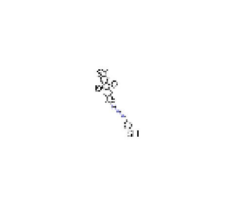 COc1c2cc3sc(/C=C/C=C/C=C/c4ccc(S)cc4)c(C)c3cc2c(OC)c2cc3scc(C)c3cc12